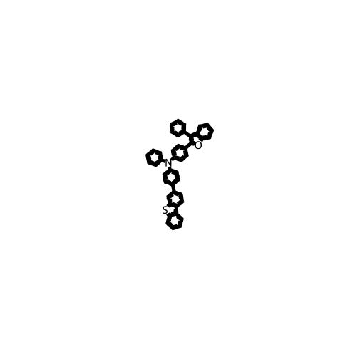 c1ccc(-c2c(-c3ccc(N(c4ccccc4)c4ccc(-c5ccc6c(c5)sc5ccccc56)cc4)cc3)oc3ccccc23)cc1